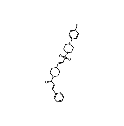 O=C(C=Cc1ccccc1)N1CCC(C=CS(=O)(=O)N2CCN(c3ccc(F)cc3)CC2)CC1